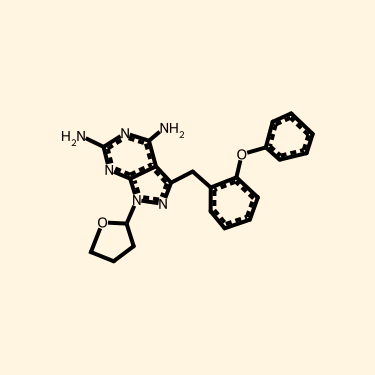 Nc1nc(N)c2c(Cc3ccccc3Oc3ccccc3)nn(C3CCCO3)c2n1